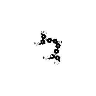 CCc1ccc2c(c1)c1cc(CC)ccc1n2-c1ccc(-c2ccc3[nH]c4ccc(-c5ccc(-n6c7ccc(CC)cc7c7cc(CC)ccc76)cc5)cc4c3c2)cc1